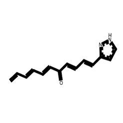 C=CC=CC=CC(=O)C=CC=Cc1cc[nH]n1